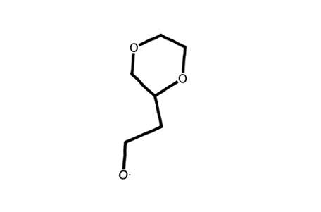 [O]CCC1COCCO1